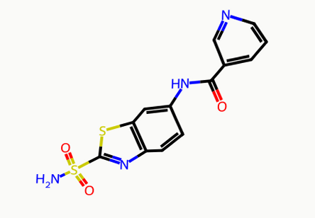 NS(=O)(=O)c1nc2ccc(NC(=O)c3cccnc3)cc2s1